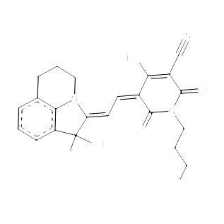 CCCCN1C(=O)C(C#N)=C(C)/C(=C/C=C2\N3CCCc4cccc(c43)C2(C)C)C1=O